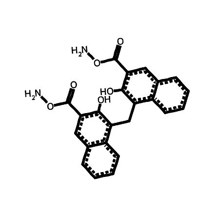 NOC(=O)c1cc2ccccc2c(Cc2c(O)c(C(=O)ON)cc3ccccc23)c1O